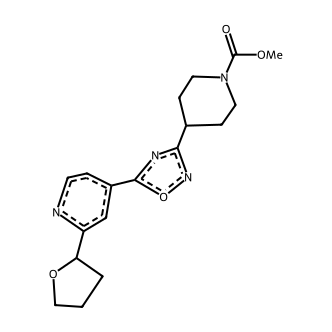 COC(=O)N1CCC(c2noc(-c3ccnc(C4CCCO4)c3)n2)CC1